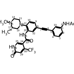 CC(=O)Nc1cccc(C#Cc2ccc(N3CCN(C)[C@@H](C)C3)c(NC(=O)c3c[nH]c(=O)cc3C(F)(F)F)c2)c1